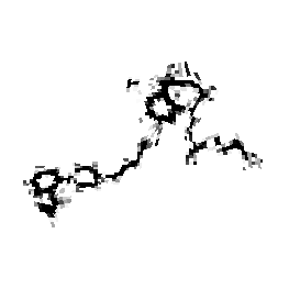 CC(C)CCOC(=O)OCN1C(=O)CC(C)(C)c2ccc(OCCCCN3CCN(c4cccc5sccc45)CC3)cc21